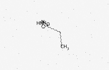 CCCCCCCC/C=C\CCCCCCCC(=O)c1cccc2[nH]nnc12